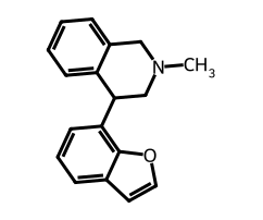 CN1Cc2ccccc2C(c2cccc3ccoc23)C1